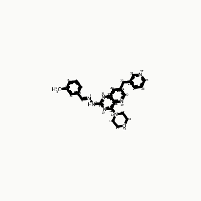 Cc1cccc(/C=N/Nc2nc(N3CCOCC3)c3ncc(Cc4cccnc4)cc3n2)c1